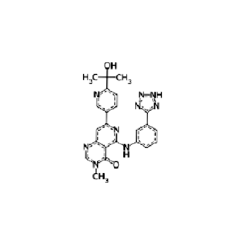 Cn1cnc2cc(-c3ccc(C(C)(C)O)nc3)nc(Nc3cccc(-c4nn[nH]n4)c3)c2c1=O